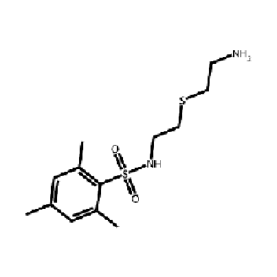 Cc1cc(C)c(S(=O)(=O)NCCSCCN)c(C)c1